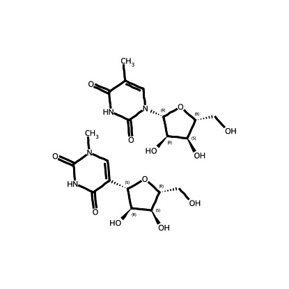 Cc1cn([C@@H]2O[C@H](CO)[C@@H](O)[C@H]2O)c(=O)[nH]c1=O.Cn1cc([C@@H]2O[C@H](CO)[C@@H](O)[C@H]2O)c(=O)[nH]c1=O